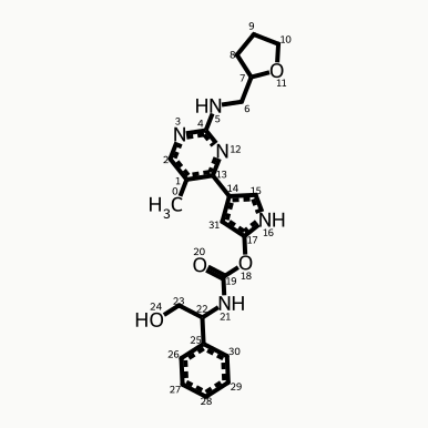 Cc1cnc(NCC2CCCO2)nc1-c1c[nH]c(OC(=O)NC(CO)c2ccccc2)c1